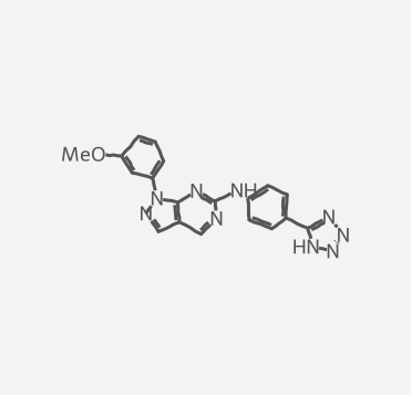 COc1cccc(-n2ncc3cnc(Nc4ccc(-c5nnn[nH]5)cc4)nc32)c1